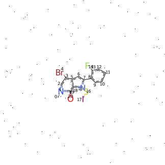 Cn1cc(Br)c2cc(-c3ccccc3F)n(SI)c2c1=O